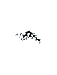 CC(O)c1ccc2nc(OCCF)sc2n1